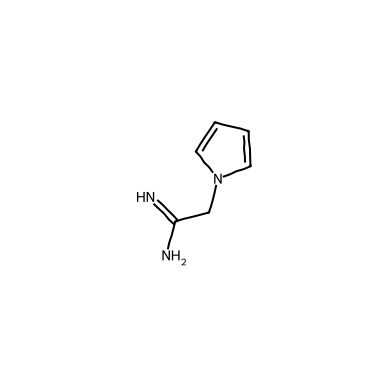 N=C(N)Cn1cccc1